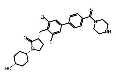 O=C(c1ccc(-c2cc(Cl)c(C[C@@H]3CCN([C@H]4CC[C@@H](O)CC4)C3=O)c(Cl)c2)cc1)N1CCNCC1